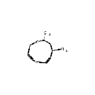 CC1/C=C\NC=CCC[C@H](C)C1